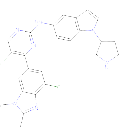 Cc1nc2c(F)cc(-c3nc(Nc4ccc5c(ccn5C5CCNC5)c4)ncc3F)cc2n1C(C)C